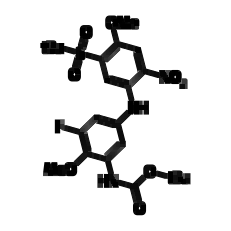 COc1cc([N+](=O)[O-])c(Nc2cc(F)c(OC)c(NC(=O)OC(C)(C)C)c2)cc1S(=O)(=O)C(C)(C)C